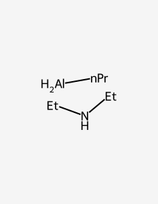 CCNCC.CC[CH2][AlH2]